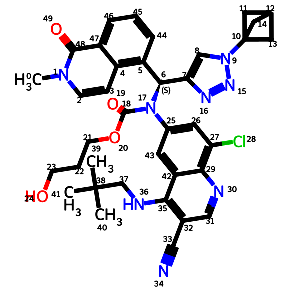 Cn1ccc2c([C@@H](c3cn(C45CC(C4)C5)nn3)N(C(=O)OCCCO)c3cc(Cl)c4ncc(C#N)c(NCC(C)(C)C)c4c3)cccc2c1=O